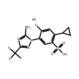 F.Nc1nc(C(F)(F)F)nn1-c1cc(S(=O)(=O)O)c(C2CC2)cc1F